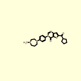 CN1CCCN(c2ccc(-n3cnc4cc(C(=O)C5CCCC5)sc4c3=O)cc2)CC1